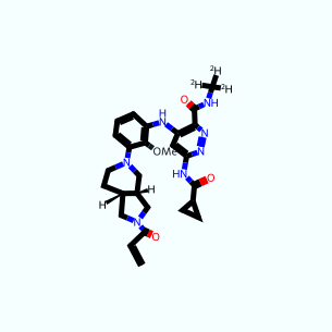 [2H]C([2H])([2H])NC(=O)c1nnc(NC(=O)C2CC2)cc1Nc1cccc(N2CC[C@H]3CN(C(=O)C=C)C[C@H]3C2)c1OC